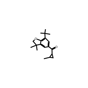 CC1CC1C(=O)c1cc(C(C)(C)C)c2c(c1)C(C)(C)CO2